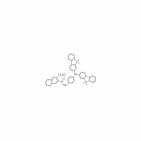 CC1(C)c2ccccc2-c2ccc(N(c3ccc(/C=C\C(=O)c4cc5ccccc5cc4C=O)cc3)c3ccc4c(c3)C(C)(C)c3ccccc3-4)cc21